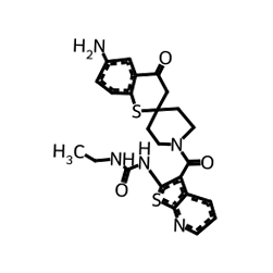 CCNC(=O)Nc1sc2ncccc2c1C(=O)N1CCC2(CC1)CC(=O)c1cc(N)ccc1S2